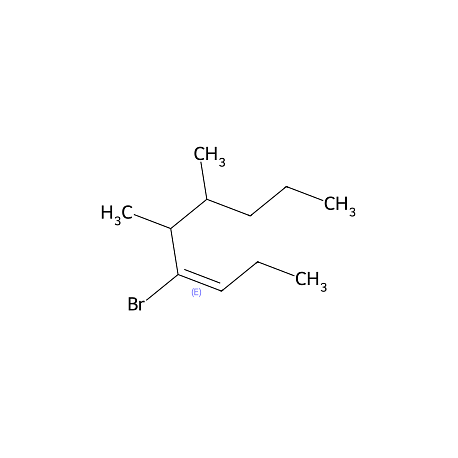 CC/C=C(/Br)C(C)C(C)CCC